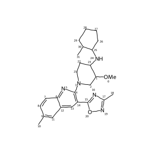 COC1CN(c2nc3ccc(C)cc3cc2-c2nc(C)no2)CCC1NC1CCCCC1C